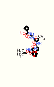 CCCC(NC(=O)[C@@H]1CC[C@H](c2ccccc2)N1C(=O)[C@@H](NC(=O)OCC(C)C)C1CCCCC1)C(=O)C(=O)NCC(=O)NC(C(=O)O)c1ccccc1